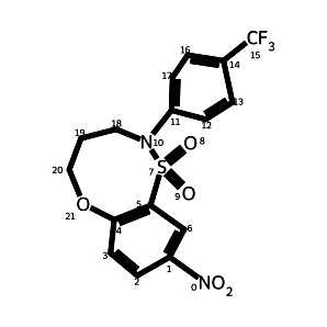 O=[N+]([O-])c1ccc2c(c1)S(=O)(=O)N(c1ccc(C(F)(F)F)cc1)CCCO2